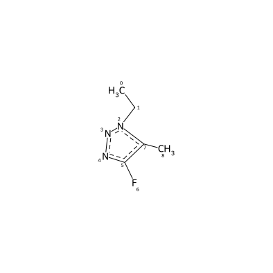 CCn1nnc(F)c1C